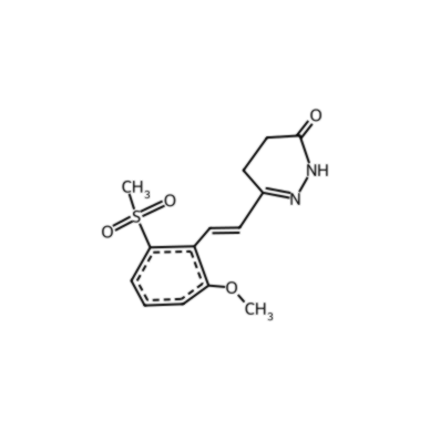 COc1cccc(S(C)(=O)=O)c1C=CC1=NNC(=O)CC1